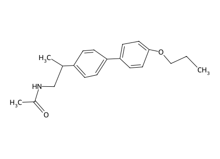 CCCOc1ccc(-c2ccc(C(C)CNC(C)=O)cc2)cc1